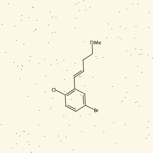 COCC/C=C/c1cc(Br)ccc1Cl